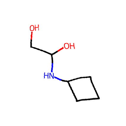 OCC(O)NC1CCC1